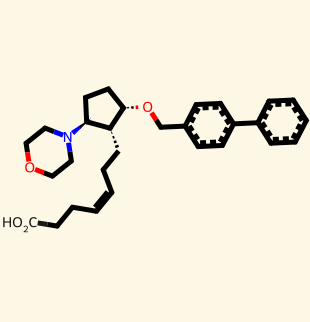 O=C(O)CC/C=C\CC[C@H]1[C@@H](OCc2ccc(-c3ccccc3)cc2)CC[C@@H]1N1CCOCC1